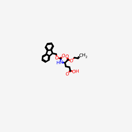 C=CCOC(=O)C(CCC(=O)O)NC(=O)OCC1c2ccccc2-c2ccccc21